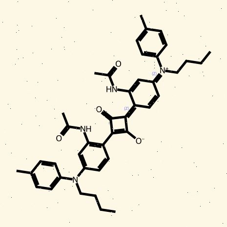 CCCCN(c1ccc(C)cc1)c1ccc(C2=C([O-])/C(=C3C=C/C(=[N+](\CCCC)c4ccc(C)cc4)C=C\3NC(C)=O)C2=O)c(NC(C)=O)c1